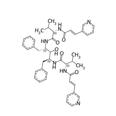 CC(C)[C@H](NC(=O)C=Cc1cccnc1)C(=O)N[C@@H](Cc1ccccc1)C(O)[C@H](Cc1ccccc1)NC(=O)[C@@H](NC(=O)C=Cc1cccnc1)C(C)C